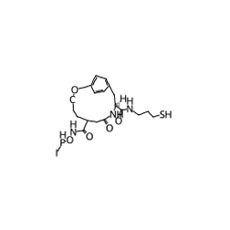 O=C1CC(C(=O)NOPI)CCCOc2ccc(cc2)C[C@@H](C(=O)NCCCS)N1